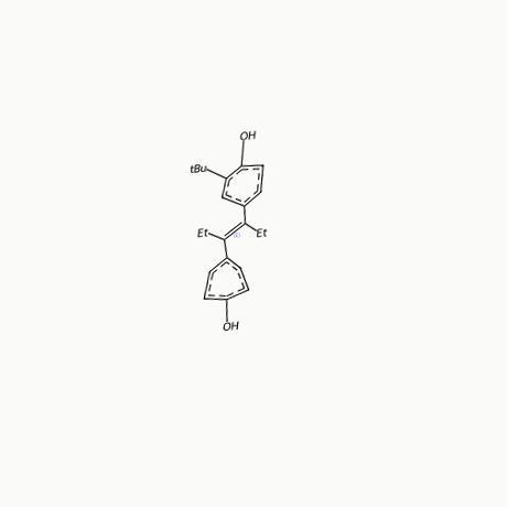 CC/C(=C(/CC)c1ccc(O)c(C(C)(C)C)c1)c1ccc(O)cc1